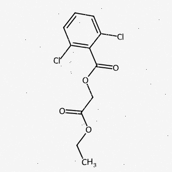 CCOC(=O)COC(=O)c1c(Cl)cccc1Cl